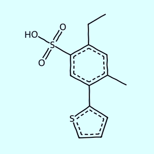 CCc1cc(C)c(-c2cccs2)cc1S(=O)(=O)O